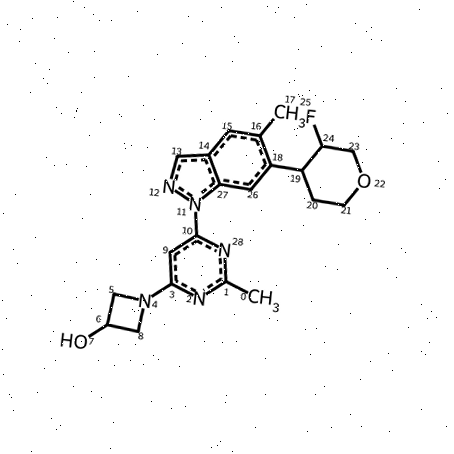 Cc1nc(N2CC(O)C2)cc(-n2ncc3cc(C)c(C4CCOCC4F)cc32)n1